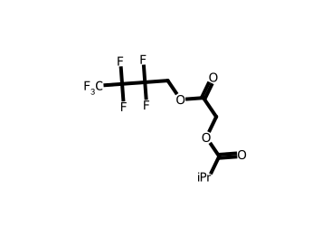 CC(C)C(=O)OCC(=O)OCC(F)(F)C(F)(F)C(F)(F)F